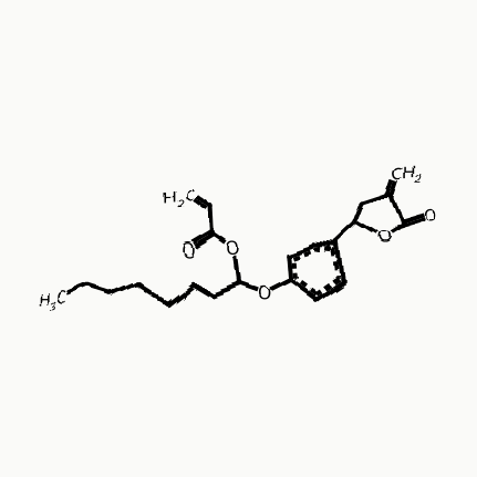 C=CC(=O)OC(CCCCCCC)Oc1ccc(C2CC(=C)C(=O)O2)cc1